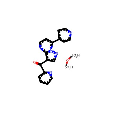 O=C(c1ccccn1)c1cnn2c(-c3ccncc3)ccnc12.O=S(=O)(O)OS(=O)(=O)O